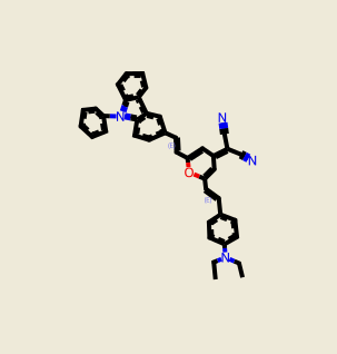 CCN(CC)c1ccc(/C=C/C2=CC(=C(C#N)C#N)C=C(/C=C/c3ccc4c(c3)c3ccccc3n4-c3ccccc3)O2)cc1